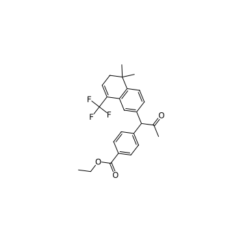 CCOC(=O)c1ccc(C(C(C)=O)c2ccc3c(c2)C(C(F)(F)F)=CCC3(C)C)cc1